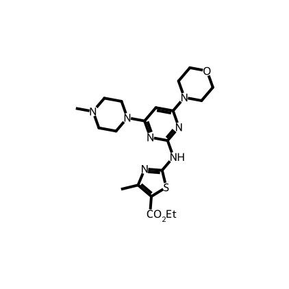 CCOC(=O)c1sc(Nc2nc(N3CCOCC3)cc(N3CCN(C)CC3)n2)nc1C